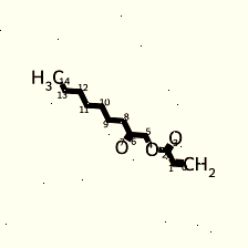 C=CC(=O)OCC(=O)CCCCCCC